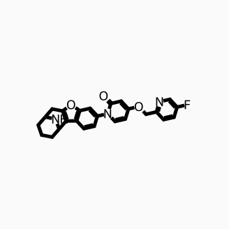 O=c1cc(OCc2ccc(F)cn2)ccn1-c1ccc2c3c(oc2c1)CC1CCCC3N1